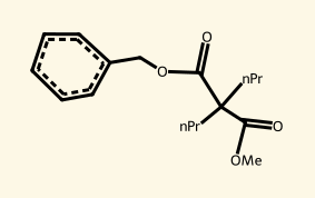 CCCC(CCC)(C(=O)OC)C(=O)OCc1ccccc1